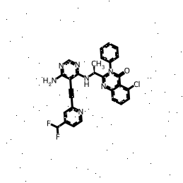 C[C@H](Nc1ncnc(N)c1C#Cc1cc(C(F)F)ccn1)c1nc2cccc(Cl)c2c(=O)n1-c1ccccc1